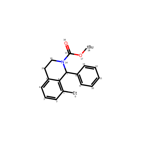 CCc1cccc2c1C(c1ccccc1)N(C(=O)OC(C)(C)C)CC2